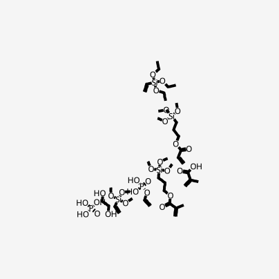 C=C(C)C(=O)O.C=C(C)C(=O)OCCC[Si](OC)(OC)OC.C=CC(=O)OCCC[Si](OC)(OC)OC.C=COP(=O)(O)O.C=C[Si](OC)(OC)OC.C=C[Si](OCC)(OCC)OCC.O=P(O)(O)O.OCCO